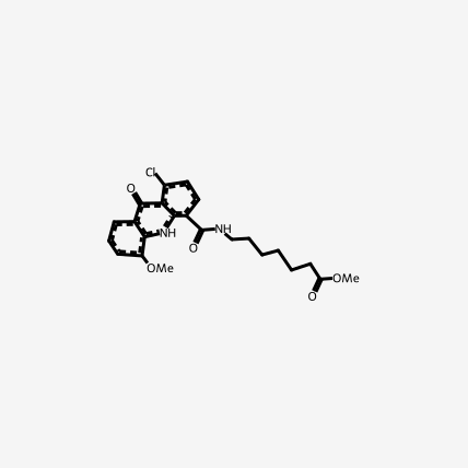 COC(=O)CCCCCCNC(=O)c1ccc(Cl)c2c(=O)c3cccc(OC)c3[nH]c12